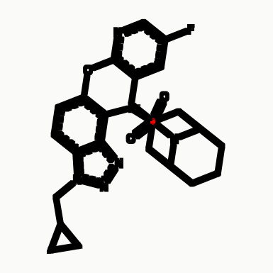 CS(=O)(=O)N1C2CCCC1CN(Cc1cc(F)cnc1Oc1ccc3c(nnn3CC3CC3)c1Br)C2